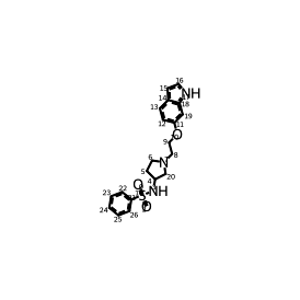 O=S(=O)(NC1CCN(CCOc2ccc3cc[nH]c3c2)C1)c1ccccc1